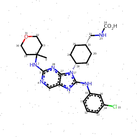 CC1(Nc2ncc3nc(Nc4cccc(Cl)c4)n([C@H]4CC[C@@H](CNC(=O)O)CC4)c3n2)CCOCC1